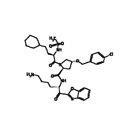 CS(=O)(=O)N[C@H](CCC1CCCCC1)C(=O)N1C[C@H](OCc2ccc(Cl)cc2)C[C@H]1C(=O)N[C@@H](CCCCN)C(=O)c1nc2ccccc2o1